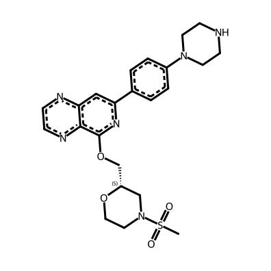 CS(=O)(=O)N1CCO[C@H](COc2nc(-c3ccc(N4CCNCC4)cc3)cc3nccnc23)C1